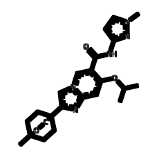 CC(C)Oc1cc2nc(C34CCC(C)(CC3)OC4)cn2cc1C(=O)Nc1ccn(C)n1